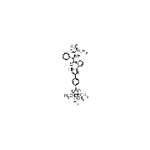 CN(C)C(=O)NC(C(=O)N1CC=C[C@H]1c1nc(-c2ccc(B3OC(C)(C)C(C)(C)O3)cc2)c[nH]1)c1ccccc1